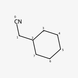 N#CCC1[CH]CCCC1